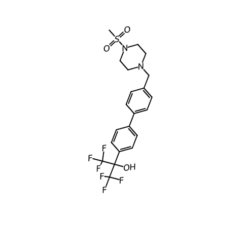 CS(=O)(=O)N1CCN(Cc2ccc(-c3ccc(C(O)(C(F)(F)F)C(F)(F)F)cc3)cc2)CC1